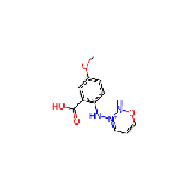 COc1ccc(N[N+]2=CC=CON2)c(C(=O)O)c1